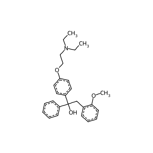 CCN(CC)CCOc1ccc(C(O)(Cc2ccccc2OC)c2ccccc2)cc1